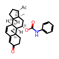 CC(=O)[C@H]1CC[C@H]2[C@@H]3C=CC4=CC(=O)CC[C@@]4(C)[C@@H]3[C@@H](OC(=O)Nc3ccccc3)C[C@]12C